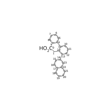 O=C(O)Cc1c(-c2ccccc2)cccc1-c1ccc2ccccc2c1